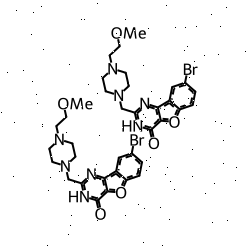 COCCN1CCN(Cc2nc3c(oc4ccc(Br)cc43)c(=O)[nH]2)CC1.COCCN1CCN(Cc2nc3c(oc4ccc(Br)cc43)c(=O)[nH]2)CC1